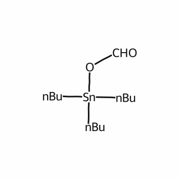 CCC[CH2][Sn]([CH2]CCC)([CH2]CCC)[O]C=O